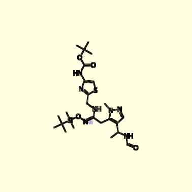 CC(NC=O)c1cnn(C)c1C/C(=N/O[Si](C)(C)C(C)(C)C)NCc1nc(NC(=O)OC(C)(C)C)cs1